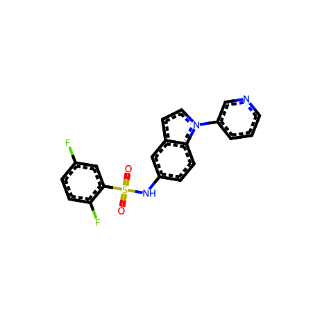 O=S(=O)(Nc1ccc2c(ccn2-c2cccnc2)c1)c1cc(F)ccc1F